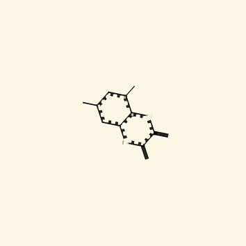 O=c1[nH]c2cc(C(F)(F)F)cc(Cl)c2[nH]c1=O